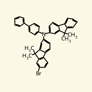 CC1(C)c2ccccc2-c2ccc(N(c3ccc(-c4ccccc4)cc3)c3ccc4c(c3)C(C)(C)c3cc(Br)ccc3-4)cc21